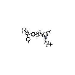 Cc1ccc(-c2cc(C(F)(F)F)nn2-c2ccc(S(=O)(=O)NC(=O)OC[C@H](CC(C)C)N(C)/[N+]([O-])=N/OC(C)OC(=O)C(C)(C)C)cc2)cc1